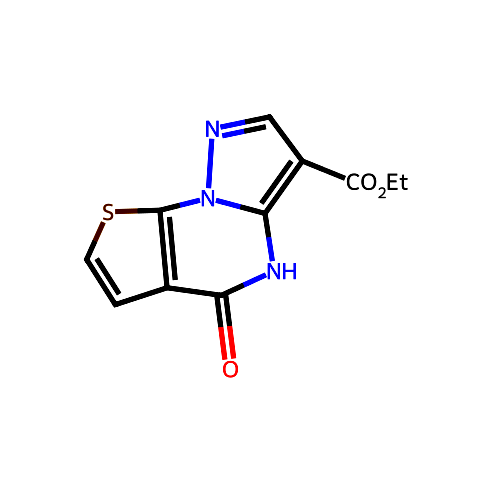 CCOC(=O)c1cnn2c1[nH]c(=O)c1ccsc12